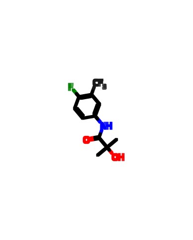 CC(C)(O)C(=O)Nc1ccc(F)c(C(F)(F)F)c1